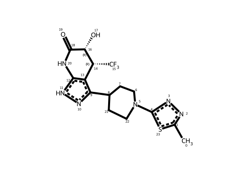 Cc1nnc(N2CCC(c3n[nH]c4c3[C@@H](C(F)(F)F)[C@@H](O)C(=O)N4)CC2)s1